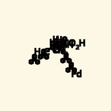 C=CCc1cc(C)c(NC(=O)Nc2cc3ccccc3cc2C(=O)NC(C)(C(=O)O)C2CCCCC2)c(C)c1.[Pd].c1ccc(P(c2ccccc2)c2ccccc2)cc1.c1ccc(P(c2ccccc2)c2ccccc2)cc1.c1ccc(P(c2ccccc2)c2ccccc2)cc1.c1ccc(P(c2ccccc2)c2ccccc2)cc1